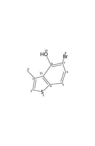 Cc1csc2ccc(Br)c(O)c12